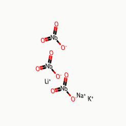 [K+].[Li+].[Na+].[O]=[Nb](=[O])[O-].[O]=[Nb](=[O])[O-].[O]=[Nb](=[O])[O-]